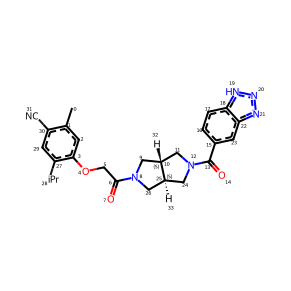 Cc1cc(OCC(=O)N2C[C@@H]3CN(C(=O)c4ccc5[nH]nnc5c4)C[C@H]3C2)c(C(C)C)cc1C#N